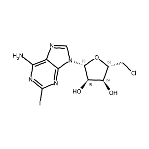 Nc1nc(I)nc2c1ncn2[C@@H]1O[C@H](CCl)[C@@H](O)[C@H]1O